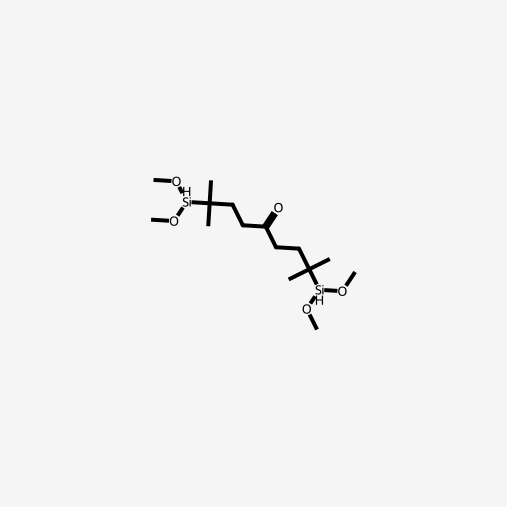 CO[SiH](OC)C(C)(C)CCC(=O)CCC(C)(C)[SiH](OC)OC